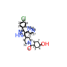 O=C(C1CCC(O)CC1)N1CCC(c2[nH]nc(-c3ccc(Cl)cc3)c2-c2ccncn2)CC1